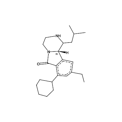 CCc1cc(C2CCCCC2)c2c(c1)[C@H]1C(CC(C)C)NCCN1C2=O